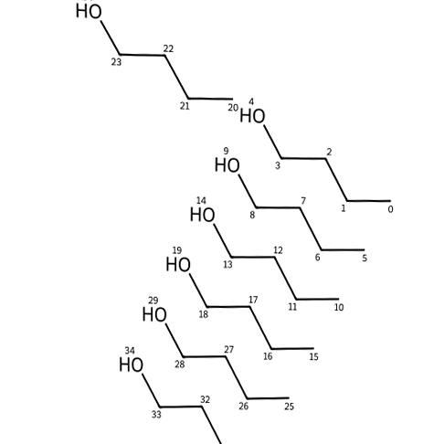 CCCCO.CCCCO.CCCCO.CCCCO.CCCCO.CCCCO.CCCCO